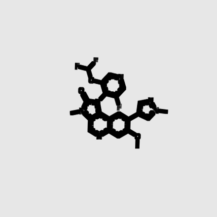 COc1cc2ncc3c(c2cc1-c1cnn(C)c1)n(-c1c(F)cncc1OC(F)F)c(=O)n3C